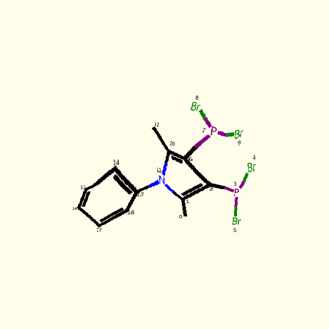 Cc1c(P(Br)Br)c(P(Br)Br)c(C)n1-c1ccccc1